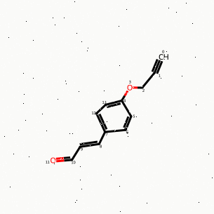 C#CCOc1ccc(C=CC=O)cc1